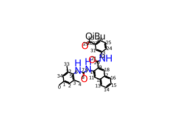 Cc1cc(C)c(NC(=O)Nc2cc3ccccc3cc2C(=O)Nc2cccc(C(=O)OCC(C)C)c2)c(C)c1